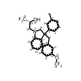 Cc1cccc(C2(Cc3cccc(OC(F)(F)F)c3)CN(C[C@@H](O)C(F)(F)F)c3ccccc32)c1